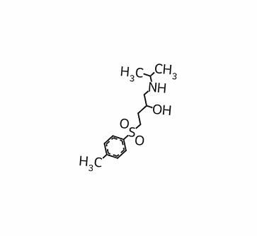 Cc1ccc(S(=O)(=O)CCC(O)CNC(C)C)cc1